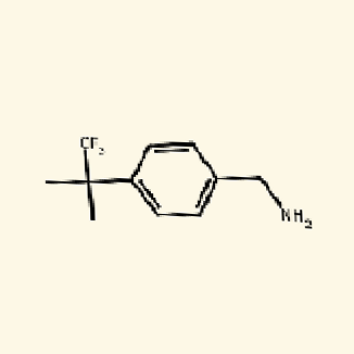 CC(C)(c1ccc(CN)cc1)C(F)(F)F